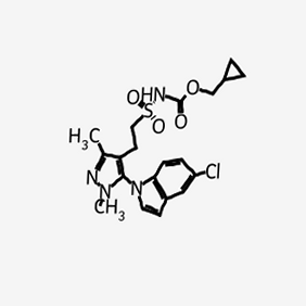 Cc1nn(C)c(-n2ccc3cc(Cl)ccc32)c1CCS(=O)(=O)NC(=O)OCC1CC1